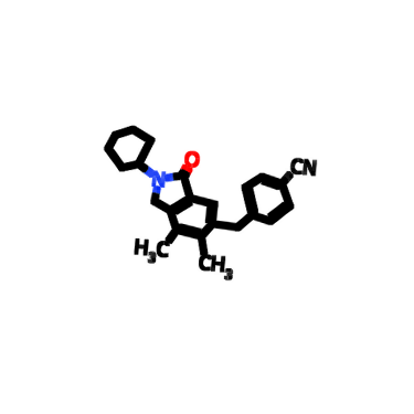 Cc1c(Cc2ccc(C#N)cc2)cc2c(c1C)CN(C1CCCCC1)C2=O